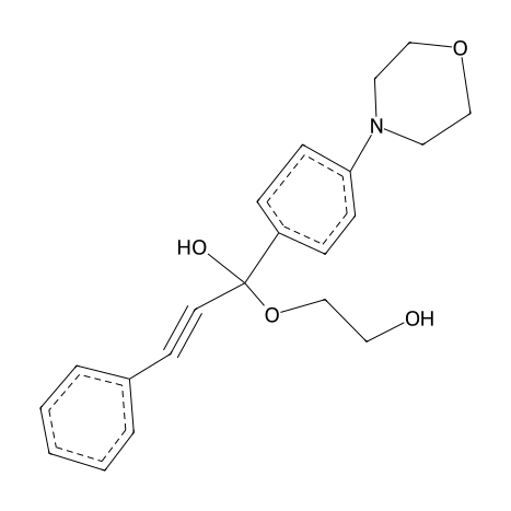 OCCOC(O)(C#Cc1ccccc1)c1ccc(N2CCOCC2)cc1